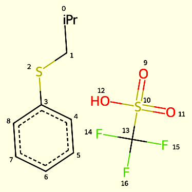 CC(C)CSc1ccccc1.O=S(=O)(O)C(F)(F)F